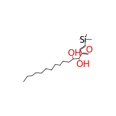 CCCCCCCCCCCC(O)C(O)c1coc([Si](C)(C)C)c1